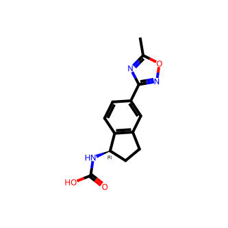 Cc1nc(-c2ccc3c(c2)CC[C@H]3NC(=O)O)no1